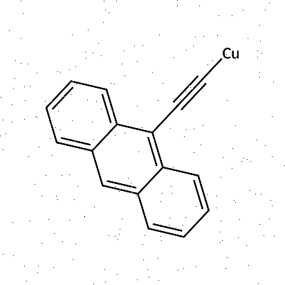 [Cu][C]#Cc1c2ccccc2cc2ccccc12